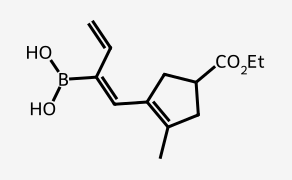 C=C/C(=C\C1=C(C)CC(C(=O)OCC)C1)B(O)O